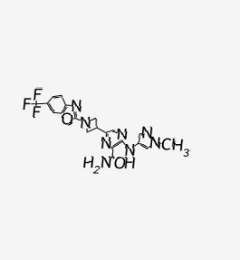 Cn1cc(Nc2ncc(C3CN(c4nc5ccc(C(F)(F)F)cc5o4)C3)nc2C(N)=O)cn1